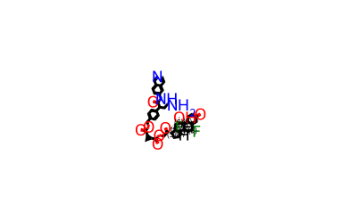 C[C@]12C[C@H](O)[C@@]3(F)[C@@H](C[C@H](F)C4=CC(=O)C=C[C@@]43C)[C@@H]1CC[C@@H]2C(=O)COC(=O)C1CC1C(=O)OCc1ccc(C(CCN)C(=O)Nc2ccc3cnccc3c2)cc1